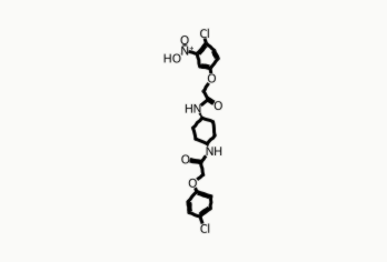 O=C(COc1ccc(Cl)cc1)N[C@H]1CC[C@H](NC(=O)COc2ccc(Cl)c([N+](=O)O)c2)CC1